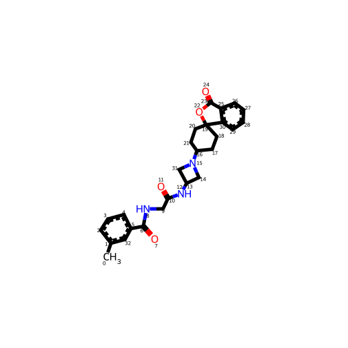 Cc1cccc(C(=O)NCC(=O)NC2CN(C3CCC4(CC3)OC(=O)c3ccccc34)C2)c1